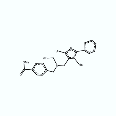 CCCCn1c(-c2ccccc2)nc(C(F)(F)F)c1CN(Cc1ccc(C(=O)OC)cc1)CC(C)C